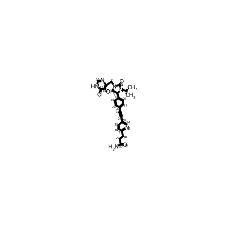 CC(C)N1C(=O)N(Cc2nc[nH]c(=O)c2O)CC1c1ccc(C#Cc2ccc(CCC(N)=O)nc2)cc1